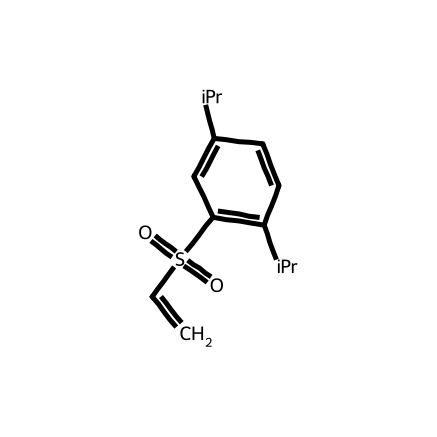 C=CS(=O)(=O)c1cc(C(C)C)ccc1C(C)C